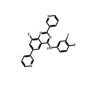 Fc1ccc(Nc2nc(-c3cccnc3)nc3c(F)cc(-c4cccnc4)cc23)cc1F